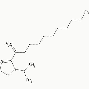 C=C(CCCCCCCCCC)C1=NCCN1C(C)C